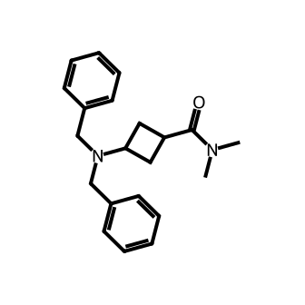 CN(C)C(=O)C1CC(N(Cc2ccccc2)Cc2ccccc2)C1